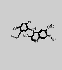 COc1cc(Nc2c(C#N)cnc3cc(OS)c(OC)cc23)c(Cl)cc1Cl